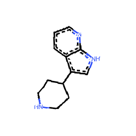 c1cnc2[nH]cc(C3CCNCC3)c2c1